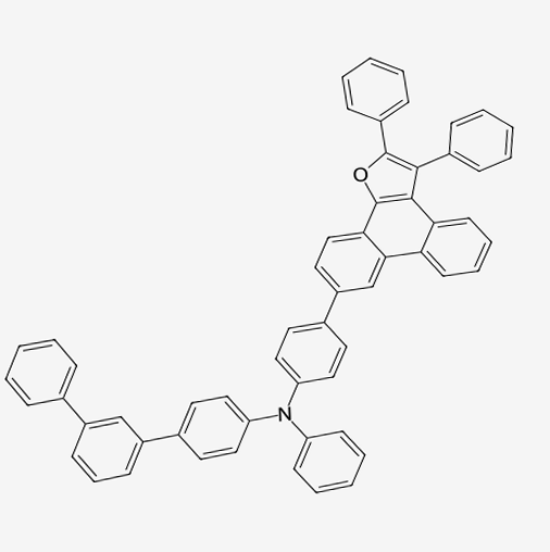 c1ccc(-c2cccc(-c3ccc(N(c4ccccc4)c4ccc(-c5ccc6c(c5)c5ccccc5c5c(-c7ccccc7)c(-c7ccccc7)oc65)cc4)cc3)c2)cc1